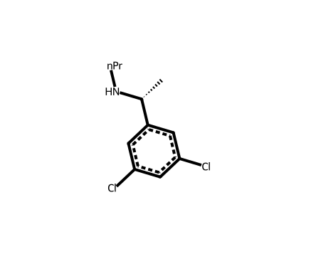 CCCN[C@H](C)c1cc(Cl)cc(Cl)c1